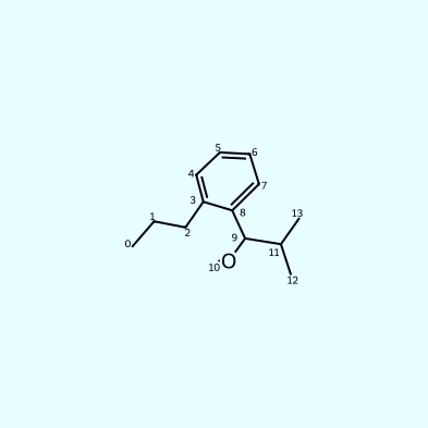 CCCc1ccccc1C([O])C(C)C